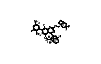 Cc1cc(N)cc(-c2nc3c4c(nc(OC[C@]56CCN5CC(F)(F)C6)nc4c2F)N2C[C@H]4CC[C@H](N4)[C@H]2[C@H](C)O3)c1C(F)(F)F